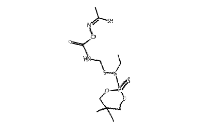 CCN(SCNC(=O)ON=C(C)S)P1(=S)OCC(C)(C)CO1